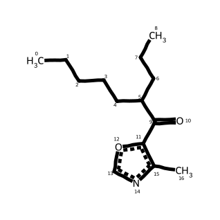 CCCCCC(CCC)C(=O)c1ocnc1C